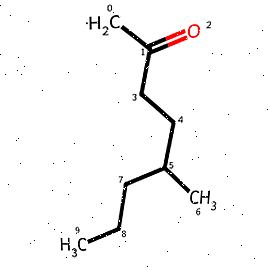 [CH2]C(=O)CCC(C)CCC